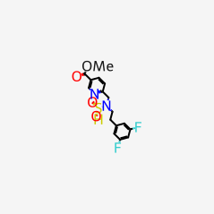 COC(=O)c1ccc(CN(CCc2cc(F)cc(F)c2)[SH](=O)=O)nc1